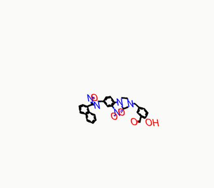 O=Cc1cc(CN2CCN(c3ccc(-c4nc(-c5cccc6ccccc56)no4)cc3[N+](=O)[O-])CC2)ccc1O